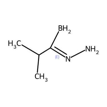 B/C(=N\N)C(C)C